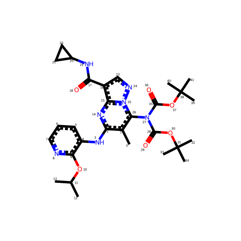 Cc1c(Nc2cccnc2OC(C)C)nc2c(C(=O)NC3CC3)cnn2c1N(C(=O)OC(C)(C)C)C(=O)OC(C)(C)C